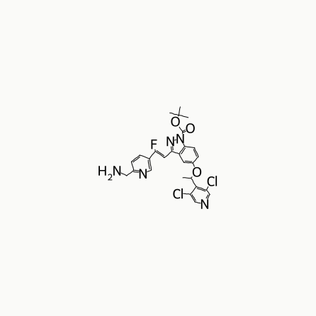 CC(Oc1ccc2c(c1)c(/C=C(\F)c1ccc(CN)nc1)nn2C(=O)OC(C)(C)C)c1c(Cl)cncc1Cl